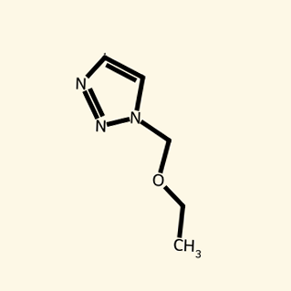 CCOCn1c[c]nn1